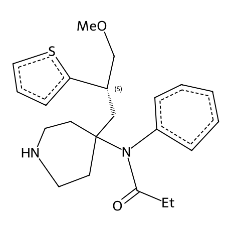 CCC(=O)N(c1ccccc1)C1(C[C@@H](COC)c2cccs2)CCNCC1